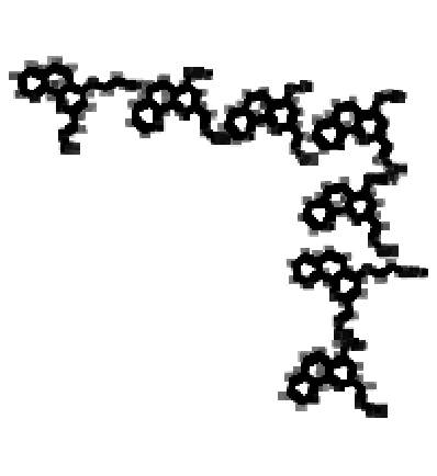 CC(C)Sc1cc(C=NO)nc2c1ccc1cccnc12.CCCSc1cc(C=NO)nc2c1ccc1cccnc12.CCOc1cc(C=NO)nc2c1ccc1cccnc12.COCCOc1cc(C=NO)nc2c1ccc1cccnc12.COc1cc(C=NO)nc2c1ccc1cccnc12.CSc1cc(C=NO)nc2c1ccc1cccnc12.NCCOc1cc(C=NO)nc2c1ccc1cccnc12